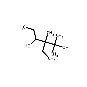 CCC(O)C(C)(CC)C(C)(C)O